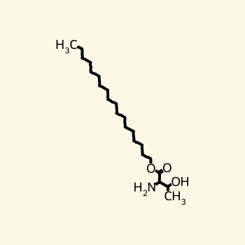 CCCCCCCCCCCCCCCCCCOC(=O)C(N)C(C)O